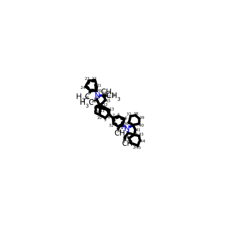 CCC1N(c2ccc(C34CC5CC(C3)C3(CC(C)(C)N(c6ccccc6C)[C@H]3C)C(C5)C4)cc2C)C2(CCCCC2)CC12CCCCC2